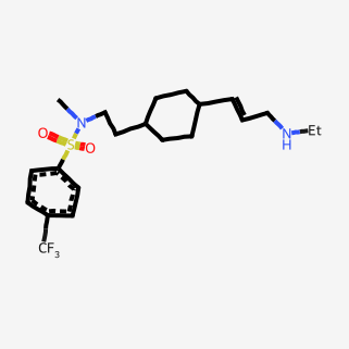 CCNCC=CC1CCC(CCN(C)S(=O)(=O)c2ccc(C(F)(F)F)cc2)CC1